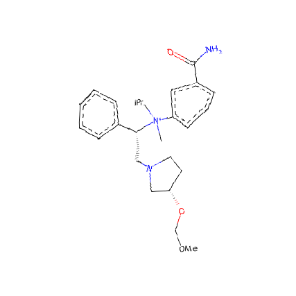 COCO[C@H]1CCN(C[C@H](c2ccccc2)[N+](C)(c2cccc(C(N)=O)c2)C(C)C)C1